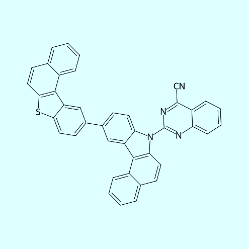 N#Cc1nc(-n2c3ccc(-c4ccc5sc6ccc7ccccc7c6c5c4)cc3c3c4ccccc4ccc32)nc2ccccc12